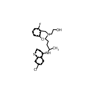 CC(CCCN(CCO)Cc1c(F)cccc1Cl)Nc1ccnc2cc(Cl)ccc12